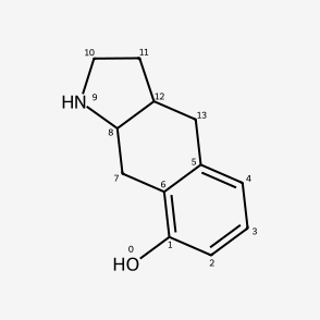 Oc1cccc2c1CC1NCCC1C2